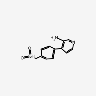 Nc1cnccc1-c1ccc(C[SH](=O)=O)cc1